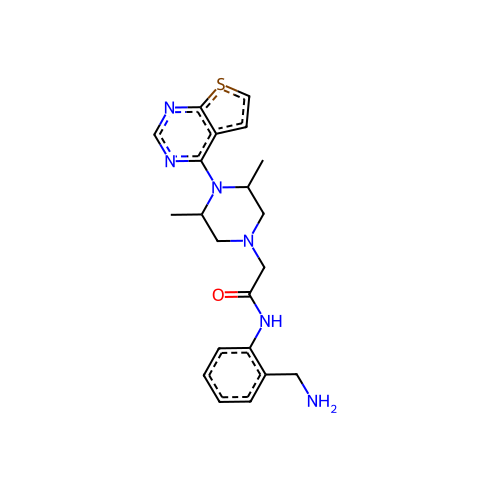 CC1CN(CC(=O)Nc2ccccc2CN)CC(C)N1c1ncnc2sccc12